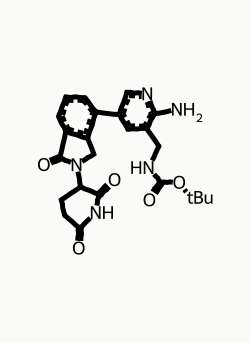 CC(C)(C)OC(=O)NCc1cc(-c2cccc3c2CN(C2CCC(=O)NC2=O)C3=O)cnc1N